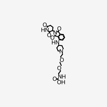 O=C(O)NCCOCCOCCN1CCC(Nc2cccc3c2C(=O)N(C2CCC(=O)NC2=O)C3=O)CC1